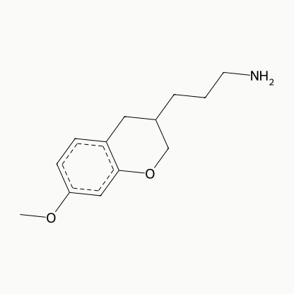 COc1ccc2c(c1)OCC(CCCN)C2